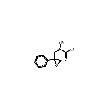 CCCN(CC1(c2ccccc2)CO1)C(=O)CC